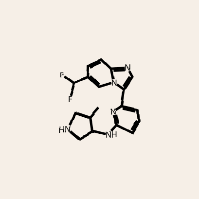 CC1CNCC1Nc1cccc(-c2cnc3ccc(C(F)F)cn23)n1